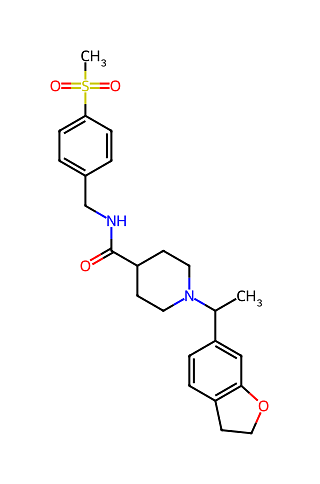 CC(c1ccc2c(c1)OCC2)N1CCC(C(=O)NCc2ccc(S(C)(=O)=O)cc2)CC1